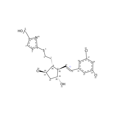 O=C(O)c1csc(SCC[C@@H]2[C@@H](/C=C/c3cc(Cl)cc(Cl)c3)[C@H](O)C[C@H]2Cl)n1